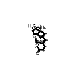 CC1(C)CC[C@@H]2[C@]1(C)CC=C1C=C3CCC(=O)C[C@]34CC[C@@]12O4